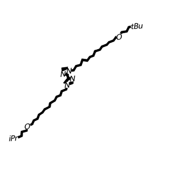 CC(C)CCCOCCCCCCCCCCCCCn1cnc(-c2nccn2CCCCCCCCCCCCCCOCCCC(C)(C)C)c1